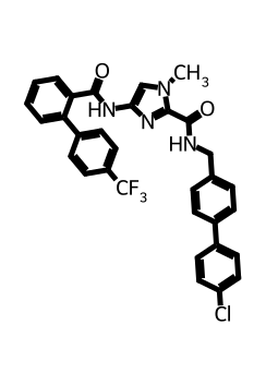 Cn1cc(NC(=O)c2ccccc2-c2ccc(C(F)(F)F)cc2)nc1C(=O)NCc1ccc(-c2ccc(Cl)cc2)cc1